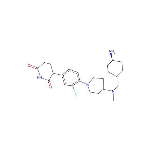 CN(C[C@H]1CC[C@H](N)CC1)C1CCN(c2ccc(C3CCC(=O)NC3=O)cc2F)CC1